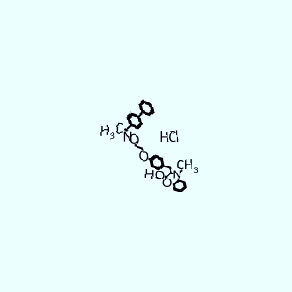 CCN(c1ccccc1)C(Cc1ccc(OCCO/N=C(/C)c2ccc(-c3ccccc3)cc2)cc1)C(=O)O.Cl